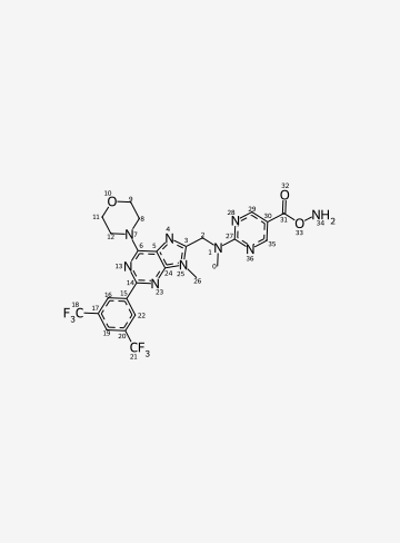 CN(Cc1nc2c(N3CCOCC3)nc(-c3cc(C(F)(F)F)cc(C(F)(F)F)c3)nc2n1C)c1ncc(C(=O)ON)cn1